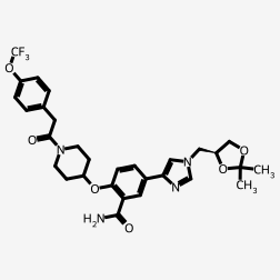 CC1(C)OC[C@H](Cn2cnc(-c3ccc(OC4CCN(C(=O)Cc5ccc(OC(F)(F)F)cc5)CC4)c(C(N)=O)c3)c2)O1